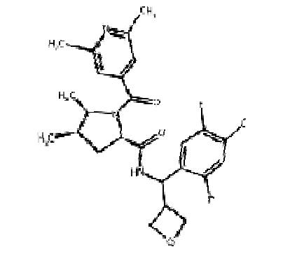 Cc1cc(C(=O)N2[C@@H](C(=O)NC(c3cc(F)c(Cl)cc3F)C3COC3)C[C@@H](C)[C@H]2C)cc(C)n1